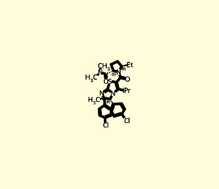 CC[C@@H]1CC[C@@H](C(=O)N(C)C)N1C(=O)C1=C(C(C)C)N2C(=N[C@@](C)(c3ccc(Cl)cc3)[C@H]2c2ccc(Cl)cc2)S1